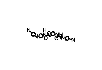 N#Cc1ccc(CN2CCC(NC(=O)c3cc4cc(NC(=O)C5CN(c6ccc(C#N)cc6)C5)ccc4o3)CC2)cc1